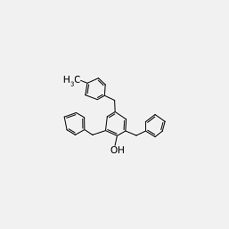 Cc1ccc(Cc2cc(Cc3ccccc3)c(O)c(Cc3ccccc3)c2)cc1